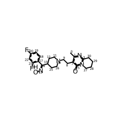 Cc1nc2n(c(=O)c1CCN1CCC(C(=NO)c3ccc(F)cc3F)CC1)CCCC2